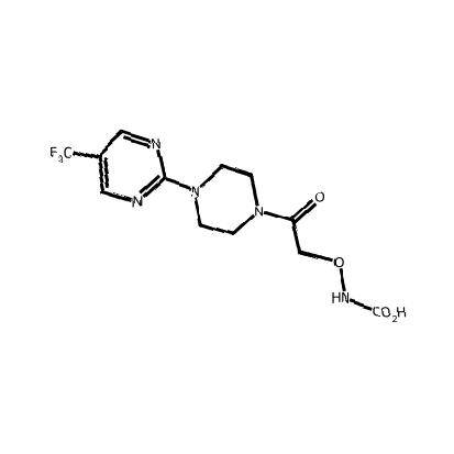 O=C(O)NOCC(=O)N1CCN(c2ncc(C(F)(F)F)cn2)CC1